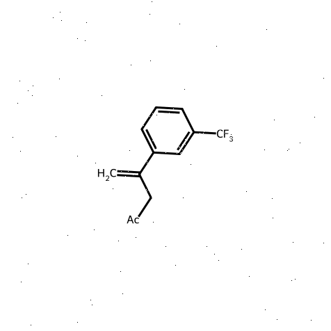 C=C(CC(C)=O)c1cccc(C(F)(F)F)c1